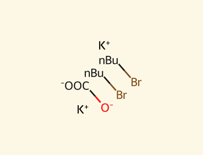 CCCCBr.CCCCBr.O=C([O-])[O-].[K+].[K+]